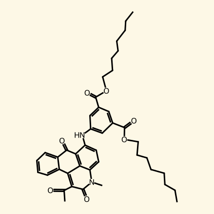 CCCCCCCCOC(=O)c1cc(Nc2ccc3c4c2C(=O)c2ccccc2-c4c(C(C)=O)c(=O)n3C)cc(C(=O)OCCCCCCCC)c1